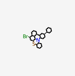 Brc1cc2sc3ccccc3n3c4ccc(-c5ccccc5)cc4c4cccc1c4c2-3